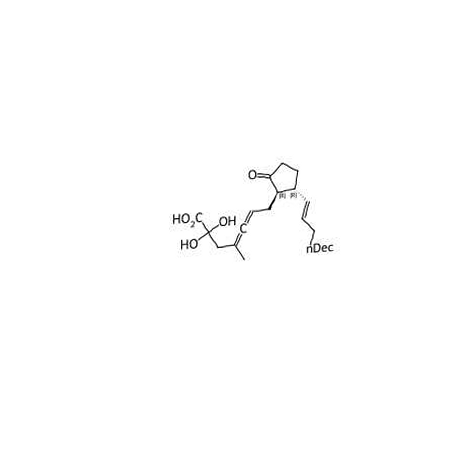 CCCCCCCCCCCC=C[C@H]1CCC(=O)[C@@H]1CC=C=C(C)CC(O)(O)C(=O)O